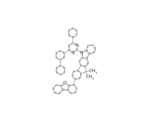 CC1(C)c2cc(-c3cccc4c3oc3ccccc34)ccc2-c2cc3c(cc21)c1ccccc1n3-c1nc(-c2ccccc2)cc(-c2cccc(-c3ccccc3)c2)n1